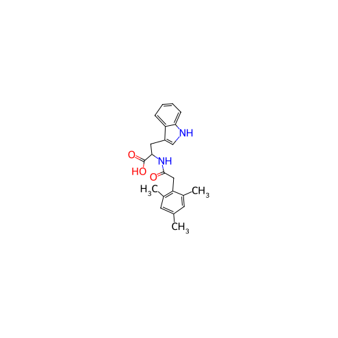 Cc1cc(C)c(CC(=O)NC(Cc2c[nH]c3ccccc23)C(=O)O)c(C)c1